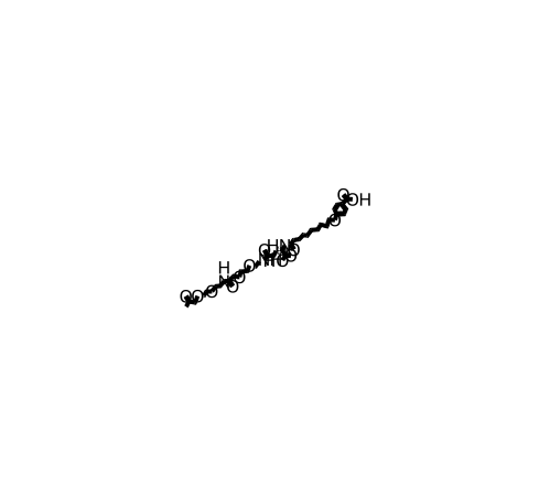 CC(=O)COCCOCCNC(=O)COCCOCCNC(=O)CC[C@H](NC(=O)CCCCCCCCCOc1ccc(C(=O)O)cc1)C(=O)O